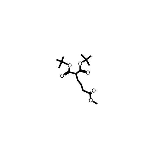 COC(=O)CCCC(C(=O)OC(C)(C)C)C(=O)OC(C)(C)C